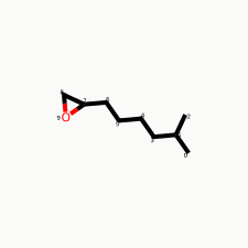 CC(C)CCCCC1CO1